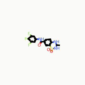 CC1Nc2ccc(C(=O)Nc3cc(F)c(F)c(F)c3)cc2S(=O)(=O)N1